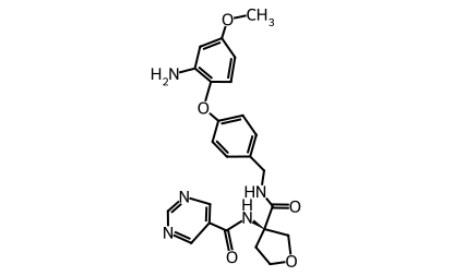 COc1ccc(Oc2ccc(CNC(=O)[C@@]3(NC(=O)c4cncnc4)CCOC3)cc2)c(N)c1